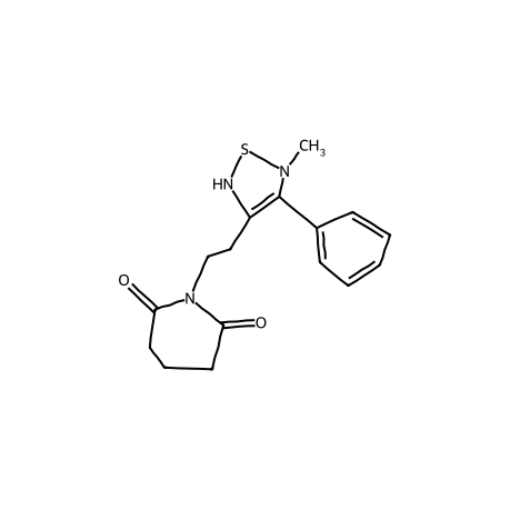 CN1SNC(CCN2C(=O)CCCC2=O)=C1c1ccccc1